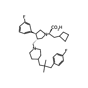 CC(C)(Cc1ccc(F)cc1)CC1CCN(C[C@H]2CN([C@H](CC3CCC3)C(=O)O)C[C@@H]2c2cccc(F)c2)CC1